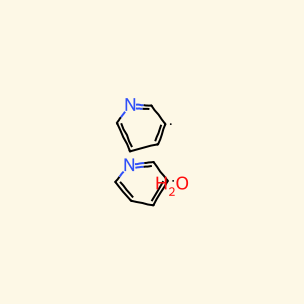 O.[c]1cccnc1.[c]1cccnc1